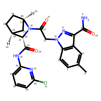 Cc1ccc2c(c1)c(C(N)=O)nn2CC(=O)N1[C@@H]2CC[C@@H](C2)[C@H]1C(=O)Nc1cccc(Cl)n1